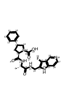 C[C@H](NC(=O)[C@H]1C[C@H](c2ccccc2)CN1C(=O)O)C(=O)NCc1[nH]c2ccncc2c1F